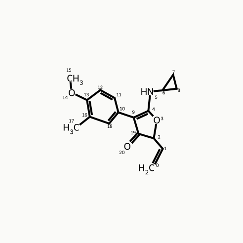 C=CC1OC(NC2CC2)=C(c2ccc(OC)c(C)c2)C1=O